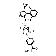 COC(=O)c1ccc(N2C[C@@H]3C[C@H]2C[C@H]3OCc2[nH]nc(C3CC3)c2-c2c(Cl)cccc2Cl)cc1F